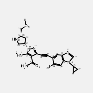 CNc1c(C(N)=O)c(C#Cc2cc3ncn(C4CC4)c3cc2F)nn1[C@@H]1CN[C@@H](COC)C1